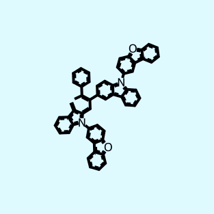 C=c1/c(=C\C(=C(/C)c2ccccc2)c2ccc3c(c2)c2ccccc2n3-c2ccc3oc4ccccc4c3c2)n(-c2ccc3oc4ccccc4c3c2)c2ccccc12